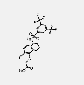 O=C(O)COc1c(F)ccc2c1CCCC2NS(=O)(=O)c1cc(C(F)(F)F)cc(C(F)(F)F)c1